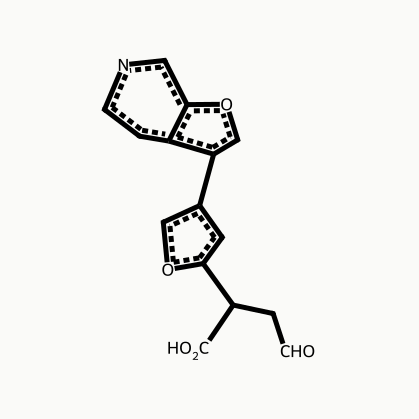 O=CCC(C(=O)O)c1cc(-c2coc3cnccc23)co1